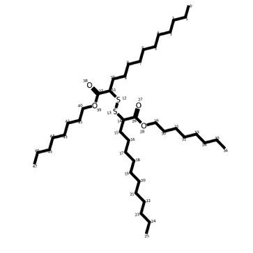 CCCCCCCCCCCC(SSC(CCCCCCCCCCC)C(=O)OCCCCCCCC)C(=O)OCCCCCCCC